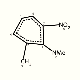 CNc1c(C)cccc1[N+](=O)[O-]